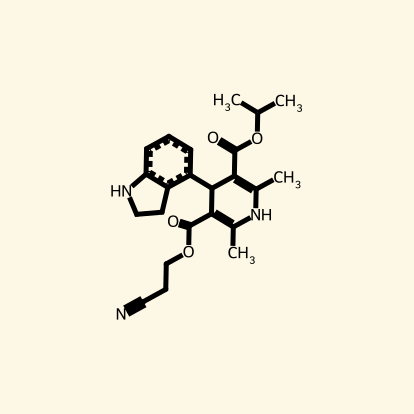 CC1=C(C(=O)OCCC#N)C(c2cccc3c2CCN3)C(C(=O)OC(C)C)=C(C)N1